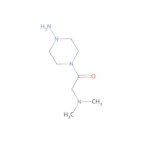 CN(C)CC(=O)N1CCN(N)CC1